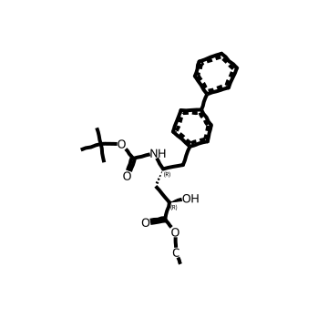 CCOC(=O)[C@H](O)C[C@@H](Cc1ccc(-c2ccccc2)cc1)NC(=O)OC(C)(C)C